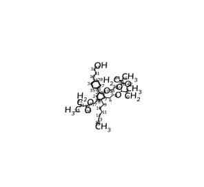 C=C(C)COCCc1c(CCCCCCC)c(COC(=O)C(=C)C)cc(-c2ccc(CCCO)cc2)c1OCCOC(=O)C(=C)C